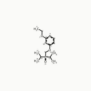 CCOc1nccc(OCP(=O)(C(C)C)C(C)C)n1